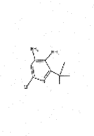 CC(C)(C)c1nc(Cl)cc(N)c1N